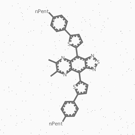 CCCCCc1ccc(-c2ccc(-c3c4nsnc4c(-c4ccc(-c5ccc(CCCCC)cc5)s4)c4nc(C)c(C)nc34)s2)cc1